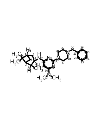 C[C@@H]1C2C[C@@H](C[C@H]1Nc1cc(N(C)C)nc(N3CCN(Cc4ccccc4)CC3)n1)C2(C)C